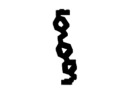 CCCCCCCCC1CCC(CCc2ccc(-c3ccc(OCCCC)cn3)cc2)CC1